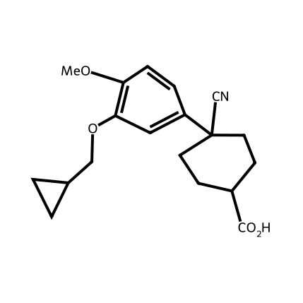 COc1ccc(C2(C#N)CCC(C(=O)O)CC2)cc1OCC1CC1